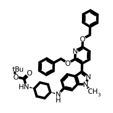 Cn1nc(-c2ccc(OCc3ccccc3)nc2OCc2ccccc2)c2ccc(N[C@H]3CC[C@@H](NC(=O)OC(C)(C)C)CC3)cc21